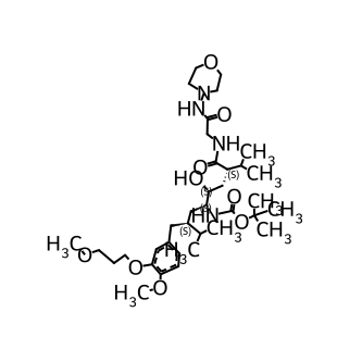 COCCCOc1cc(C[C@@H](C[C@H](NC(=O)OC(C)(C)C)[C@@H](O)C[C@H](C(=O)NCC(=O)NN2CCOCC2)C(C)C)C(C)C)ccc1OC